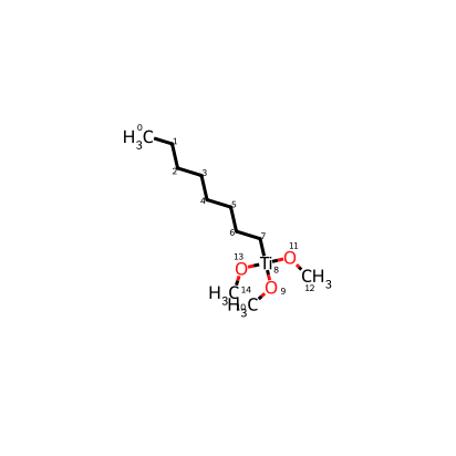 CCCCCCC[CH2][Ti]([O]C)([O]C)[O]C